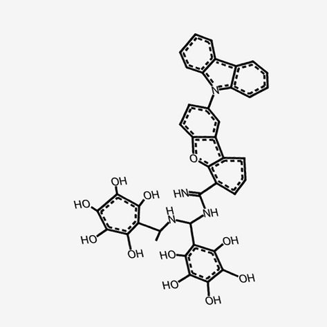 CC(NC(NC(=N)c1cccc2c1oc1ccc(-n3c4ccccc4c4ccccc43)cc12)c1c(O)c(O)c(O)c(O)c1O)c1c(O)c(O)c(O)c(O)c1O